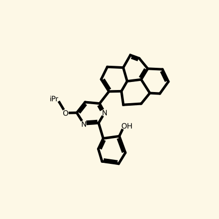 CC(C)Oc1cc(C2=CCC3C=CC4=C5C(CC=C4)CCC2C53)nc(-c2ccccc2O)n1